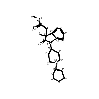 COC(=O)CC1(C)C(=O)N(C2CCN(C3CCCCC3)CC2)c2ccccc21